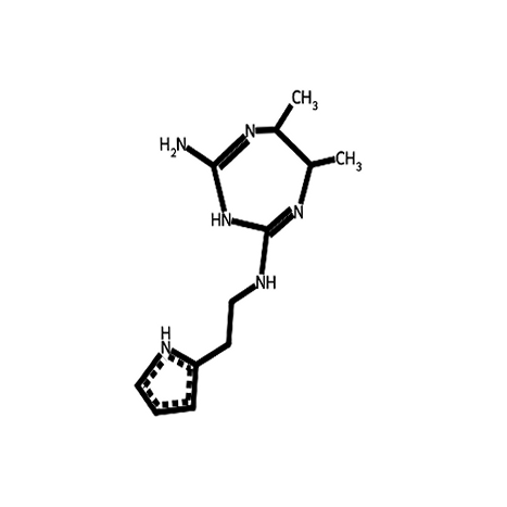 CC1N=C(N)NC(NCCc2ccc[nH]2)=NC1C